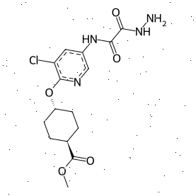 COC(=O)[C@H]1CC[C@H](Oc2ncc(NC(=O)C(=O)NN)cc2Cl)CC1